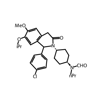 CCCN(C=O)[C@H]1CC[C@H](N2C(=O)Cc3cc(OC)c(OC(C)C)cc3C2c2ccc(Cl)cc2)CC1